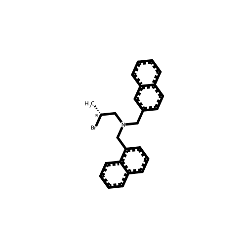 C[C@@H](Br)CN(Cc1ccc2ccccc2c1)Cc1cccc2ccccc12